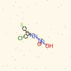 O=C1N(CCO)CCN1CCN1CCN([C@H]2C[C@H](c3ccc(F)cc3)c3cc(Cl)ccc32)CC1